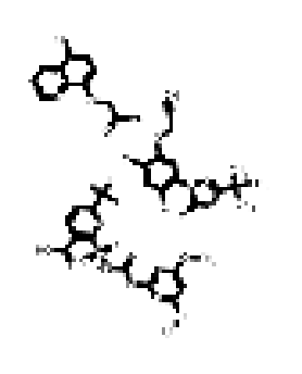 C#CCOc1cc(-n2nc(C(C)(C)C)oc2=O)c(Cl)cc1Cl.COc1cc(OC)nc(NC(=O)NS(=O)(=O)c2nc(C(F)(F)F)ccc2C(=O)O)n1.O=C(O)COc1ccc(Cl)c2cccnc12